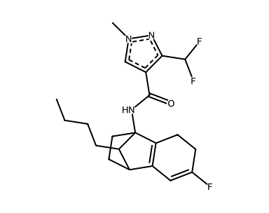 CCCCC1C2CCC1(NC(=O)c1cn(C)nc1C(F)F)C1=C2C=C(F)CC1